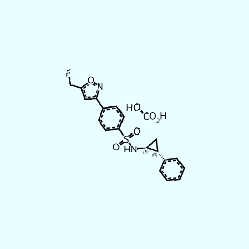 O=C(O)O.O=S(=O)(N[C@H]1C[C@@H]1c1ccccc1)c1ccc(-c2cc(CF)on2)cc1